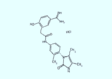 Cc1cc(NC(=O)Cc2cc(C(=N)N)ccc2O)ccc1-n1c(C)c(C)[nH]c1=O.Cl